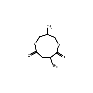 CC1COC(=O)CC(N)C(=O)OC1